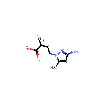 Cc1cc(N)nn1CCC(C)C(=O)O